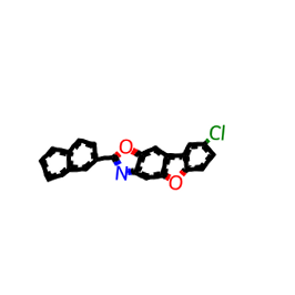 Clc1ccc2oc3cc4nc(-c5ccc6ccccc6c5)oc4cc3c2c1